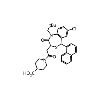 CC(C)(C)CN1C(=O)C(CC(=O)N2CCC(C(=O)O)CC2)SC(c2cccc3ccccc23)c2cc(Cl)ccc21